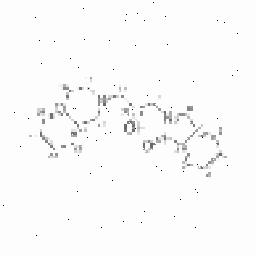 O=C1c2ccccc2CN1C[C@H](O)CN1CCc2ccccc2C1